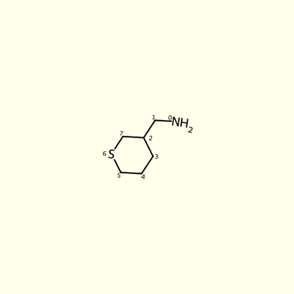 NCC1CCCSC1